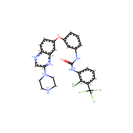 O=C(Nc1cccc(Oc2ccc3ncc(N4CCNCC4)nc3c2)c1)Nc1cccc(C(F)(F)F)c1Cl